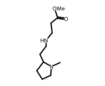 COC(=O)CCNCCC1CCCN1C